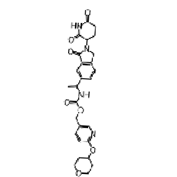 CC(NC(=O)OCc1ccc(OC2CCOCC2)nc1)c1ccc2c(c1)C(=O)N(C1CCC(=O)NC1=O)C2